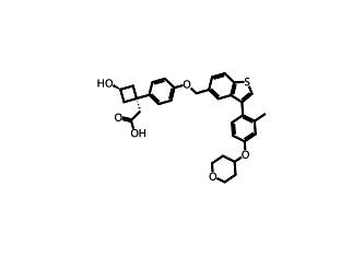 Cc1cc(OC2CCOCC2)ccc1-c1csc2ccc(COc3ccc([C@]4(CC(=O)O)C[C@H](O)C4)cc3)cc12